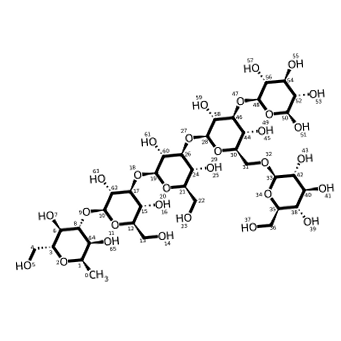 C[C@H]1O[C@H](CO)[C@@H](O)[C@H](O[C@@H]2O[C@H](CO)[C@@H](O)[C@H](O[C@@H]3O[C@H](CO)[C@@H](O)[C@H](O[C@@H]4O[C@H](CO[C@@H]5O[C@H](CO)[C@@H](O)[C@H](O)[C@H]5O)[C@@H](O)[C@H](O[C@@H]5O[C@H](O)[C@@H](O)[C@H](O)[C@H]5O)[C@H]4O)[C@H]3O)[C@H]2O)[C@H]1O